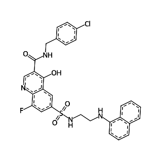 O=C(NCc1ccc(Cl)cc1)c1cnc2c(F)cc(S(=O)(=O)NCCNc3cccc4ccccc34)cc2c1O